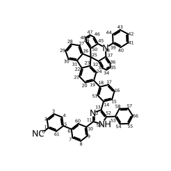 N#Cc1cccc(-c2cccc(-c3nc(-c4cccc(-c5ccc6c(c5)C5(c7ccccc7-6)c6ccccc6N(c6ccccc6)c6ccccc65)c4)c(-c4ccccc4)[nH]3)c2)c1